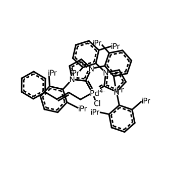 CC(C)c1cccc(C(C)C)c1-n1ccn(-c2c(C(C)C)cccc2C(C)C)[c]1=[Pd-4]([Cl])([CH2]C=Cc1ccccc1)=[c]1n(-c2c(C(C)C)cccc2C(C)C)ccn1-c1c(C(C)C)cccc1C(C)C